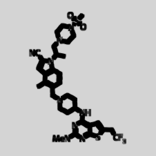 CNc1nc(NC2CCN(Cc3ccc4c(cc(C#N)n4C(C)CN4CCN(S(C)(=O)=O)CC4)c3C)CC2)c2cc(CC(F)(F)F)sc2n1